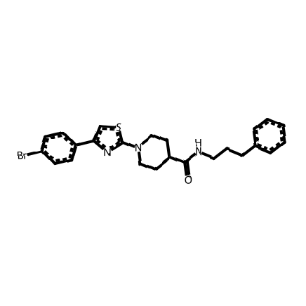 O=C(NCCCc1ccccc1)C1CCN(c2nc(-c3ccc(Br)cc3)cs2)CC1